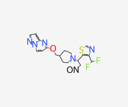 O=NCC(c1scnc1C(F)F)N1CCC(COc2ccn3nccc3n2)CC1